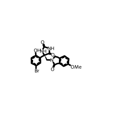 COc1ccc2c(c1)C(=O)N(C[C@@]1(c3cc(Br)ccc3O)NC(=O)NC1=O)C2